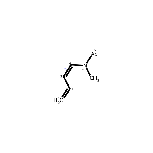 C=C/C=C\N(C)C(C)=O